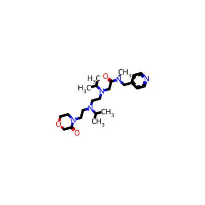 CC(C)N(CCN1CCOCC1=O)CCN(CC(=O)N(C)Cc1ccncc1)C(C)C